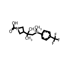 CN(CC(C)(C)C1CN(C(=O)O)C1)c1ccc(C(F)(F)F)cc1